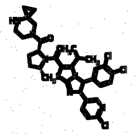 CC(C)C1=C(C(=O)N2[C@H](C)CC[C@H]2C(=O)N2CCNC3(CC3)C2)SC2=NC(c3ccc(Cl)nc3)C(c3ccc(Cl)c(Cl)c3)N21